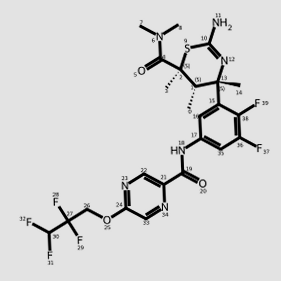 C[C@@H]1[C@@](C)(C(=O)N(C)C)SC(N)=N[C@]1(C)c1cc(NC(=O)c2cnc(OCC(F)(F)C(F)F)cn2)cc(F)c1F